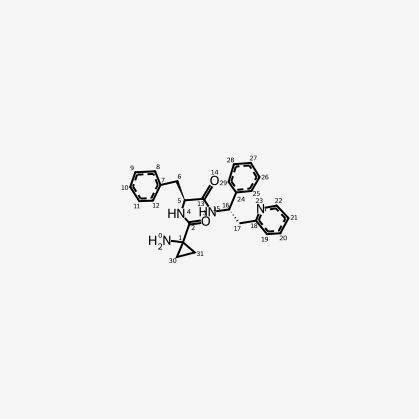 NC1(C(=O)N[C@@H](Cc2ccccc2)C(=O)N[C@@H](Cc2ccccn2)c2ccccc2)CC1